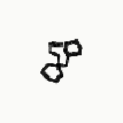 CCCCCCCCCCC[N+]1(Cc2ccccc2)C=CC=CC1